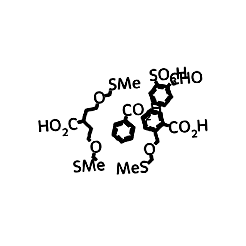 CSCOCCC(CCOCSC)C(=O)O.CSCOCc1ccccc1C(=O)O.O=C(O)c1ccccc1.O=Cc1ccccc1S(=O)(=O)O